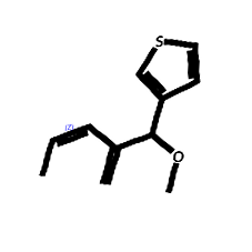 C=C(/C=C\C)C(OC)c1ccsc1